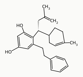 C=C(C)C[C@@H](c1c(O)cc(O)cc1CCc1ccccc1)C1CC=C(C)CC1